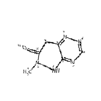 CN1Nc2ncnnc2CC1=O